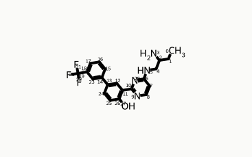 CCC(N)CNc1ccnc(-c2cc(-c3cccc(C(F)(F)F)c3)ccc2O)n1